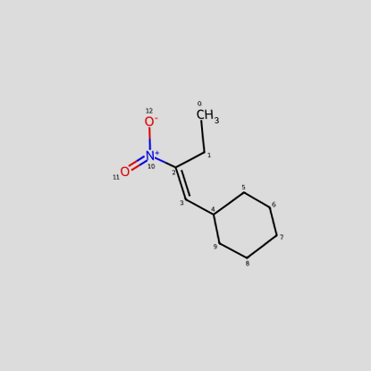 CC/C(=C\C1CCCCC1)[N+](=O)[O-]